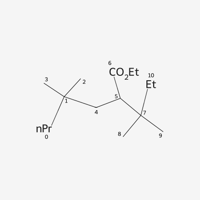 CCCC(C)(C)CC(C(=O)OCC)C(C)(C)CC